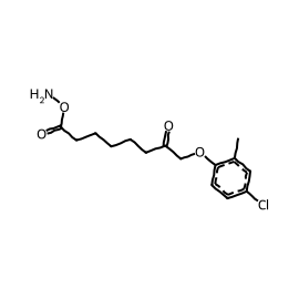 Cc1cc(Cl)ccc1OCC(=O)CCCCCC(=O)ON